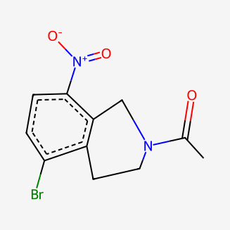 CC(=O)N1CCc2c(Br)ccc([N+](=O)[O-])c2C1